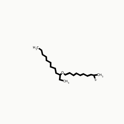 CCCCCCCCCC(CC)OCCCCCCCCC(C)[S]